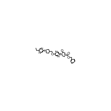 CCc1cnc(N2CCC(COc3cnc(N4CCN(C(=O)OCc5ccccc5)CC4=O)cn3)CC2)cn1